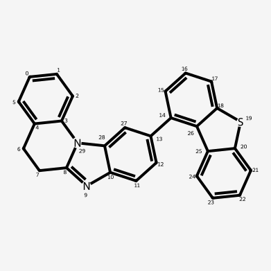 c1ccc2c(c1)CCc1nc3ccc(-c4cccc5sc6ccccc6c45)cc3n1-2